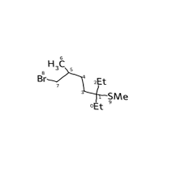 CCC(CC)(CCC(C)CBr)SC